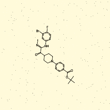 CC(C)(C)OC(=O)c1ccc(N2CCC(C(=O)/C(=N/I)Nc3ccc(F)c(Br)c3)CC2)cc1